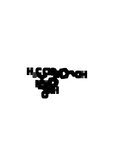 CCC(CC)c1ncc2c(=O)[nH]c3ccc(C(=O)N4CCC(CCO)CC4)cc3n12